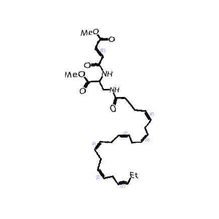 CC/C=C\C/C=C\C/C=C\C/C=C\C/C=C\C/C=C\CCC(=O)NCC(NC(=O)/C=C/C(=O)OC)C(=O)OC